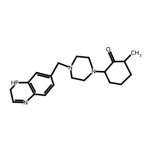 CC1CCCC(N2CCN(Cc3ccc4c(c3)PCC=N4)CC2)C1=O